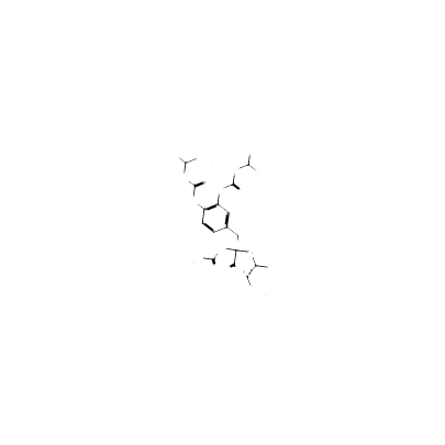 CCC(C)N[C@@](Cc1ccc(OC(=O)OC(C)C)c(OC(=O)OC(C)C)c1)(OC(C)=O)C(=O)O